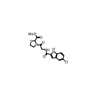 COC(=O)C1SCCN1C(=O)CNC(=O)c1cc2cc(Cl)ccc2[nH]1